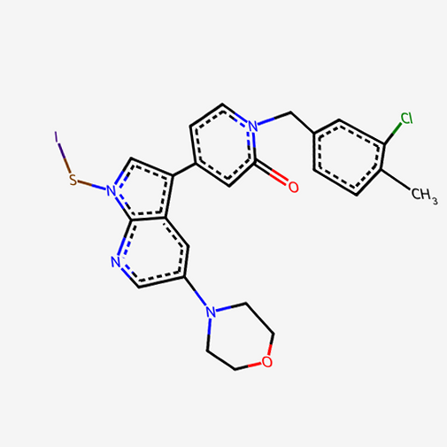 Cc1ccc(Cn2ccc(-c3cn(SI)c4ncc(N5CCOCC5)cc34)cc2=O)cc1Cl